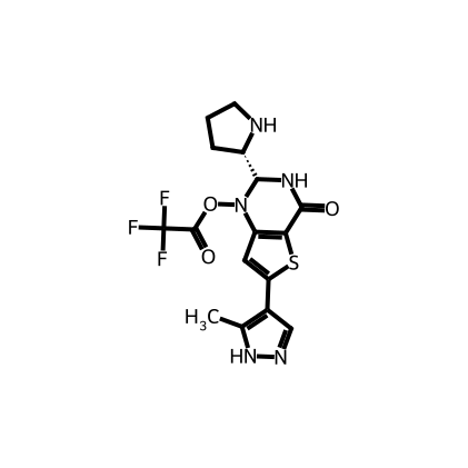 Cc1[nH]ncc1-c1cc2c(s1)C(=O)NC([C@@H]1CCCN1)N2OC(=O)C(F)(F)F